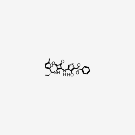 CC[C@@H](Nc1c(Nc2csc(S(=O)(=O)c3ccccc3)c2O)c(=O)c1=O)c1ccc(C)o1